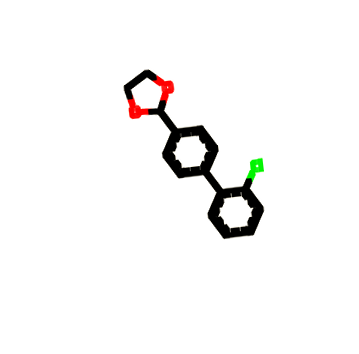 Clc1ccccc1-c1ccc(C2OCCO2)cc1